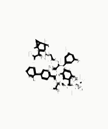 CC12CC1C(F)(F)c1c2c(C(F)F)nn1CC(=O)N[C@@H](Cc1cc(F)cc(F)c1)c1nc2cc(-c3ccccc3F)ccc2c(=O)n1-c1ccc(Cl)c2c(NS(C)(=O)=O)nn(CC(F)F)c12